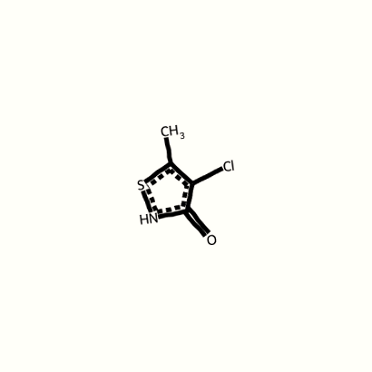 Cc1s[nH]c(=O)c1Cl